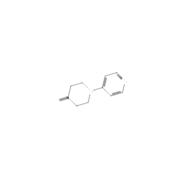 [CH]=C1CCN(c2ccncc2)CC1